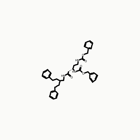 O=C(C[C@H](CCNC(=O)OCc1ccccc1)NC(=O)OCc1ccccc1)NCC(CCc1ccccc1)CCc1ccccc1